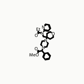 CCC(=O)N(CC1(N2CCN(C(C(=O)OC)c3ccccc3)CC2)CCOCC1)c1ccccn1